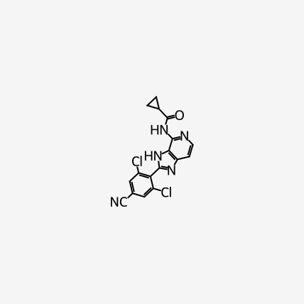 N#Cc1cc(Cl)c(-c2nc3ccnc(NC(=O)C4CC4)c3[nH]2)c(Cl)c1